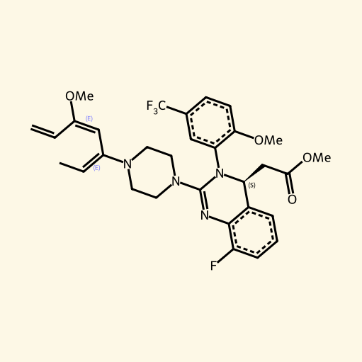 C=C/C(=C\C(=C/C)N1CCN(C2=Nc3c(F)cccc3[C@H](CC(=O)OC)N2c2cc(C(F)(F)F)ccc2OC)CC1)OC